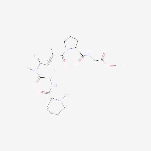 C/C(=C\C(C(C)C)N(C)C(=O)[C@@H](NC(=O)[C@H]1CCCCN1C(C)C)C(C)(C)C)C(=O)N1CCC[C@H]1C(=O)NCC(=O)OC(C)(C)C